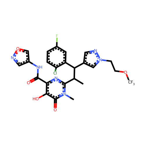 CC(c1nc(C(=O)Nc2cnoc2)c(O)c(=O)n1C)C(c1cnn(CCOC(F)(F)F)c1)c1cc(F)ccc1Cl